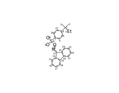 CCC(C)(C)c1ccc(S(=O)(=O)ON=C2c3ccccc3-c3ccccc32)cc1